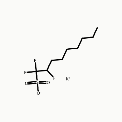 CCCCCCCC(F)C(F)(F)S(=O)(=O)[O-].[K+]